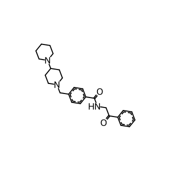 O=C(CNC(=O)c1ccc(CN2CCC(N3CCCCC3)CC2)cc1)c1ccccc1